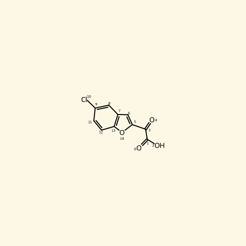 O=C(O)C(=O)c1cc2cc(Cl)ccc2o1